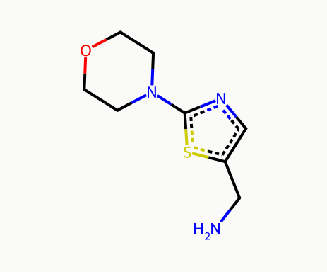 NCc1cnc(N2CCOCC2)s1